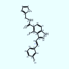 O=C(NCc1ccco1)c1ccc2[nH]nc(/C=C/c3cccc(F)c3)c2c1F